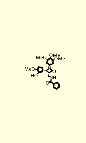 COc1ccc([C@H]2[C@H](CNC(=O)c3ccccc3)C(=O)N2c2cc(OC)c(OC)c(OC)c2)cc1O